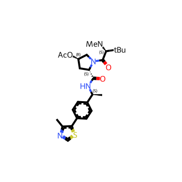 CN[C@H](C(=O)N1C[C@H](OC(C)=O)C[C@H]1C(=O)N[C@@H](C)c1ccc(-c2scnc2C)cc1)C(C)(C)C